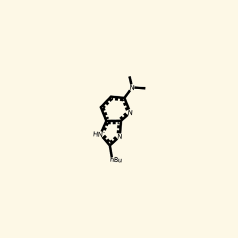 CCCCc1nc2nc(N(C)C)ccc2[nH]1